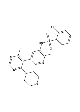 Cc1ncc(-c2c(C)ncnc2N2CCOCC2)cc1NS(=O)(=O)c1ccccc1Cl